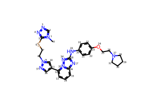 Cn1cnnc1SCCn1cc(-c2cccc3nc(Nc4ccc(OCCN5CCCC5)cc4)nn23)cn1